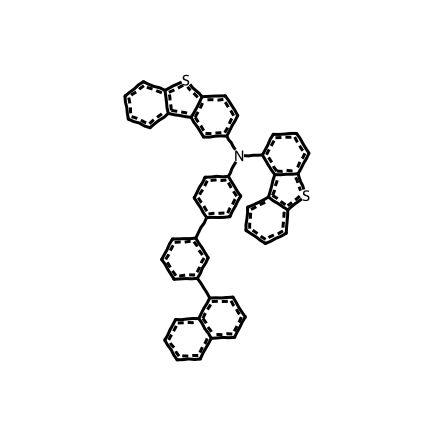 c1cc(-c2ccc(N(c3ccc4sc5ccccc5c4c3)c3cccc4sc5ccccc5c34)cc2)cc(-c2cccc3ccccc23)c1